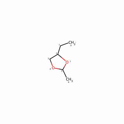 [CH2]CC1COC(C)O1